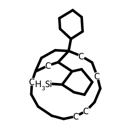 [SiH3]C1CCCCC1C1CC2CCCCCCCCCCCCC1(C1CCCCC1)CC2